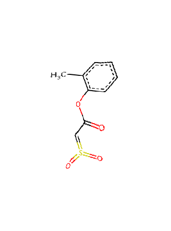 Cc1ccccc1OC(=O)C=S(=O)=O